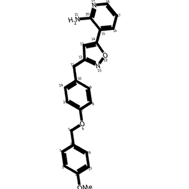 COc1ccc(COc2ccc(Cc3cc(-c4cccnc4N)on3)cc2)cc1